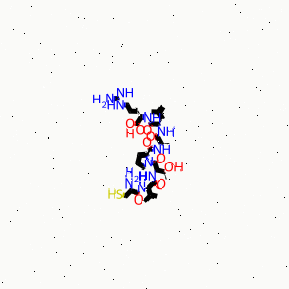 CC(C)C[C@H](NC(=O)[C@H](C)NC(=O)[C@@H]1CCCN1C(=O)[C@@H](NC(=O)[C@@H](NC(=O)[C@@H](N)CS)C(C)C)[C@@H](C)O)C(=O)N[C@@H](CCCNC(=N)N)C(=O)O